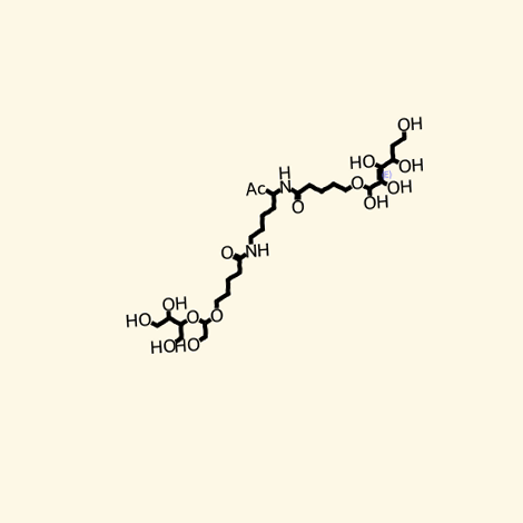 CC(=O)C(CCCCNC(=O)CCCCOC(CO)OC(CO)C(O)CO)NC(=O)CCCCOC(O)/C(O)=C(\O)C(O)CCO